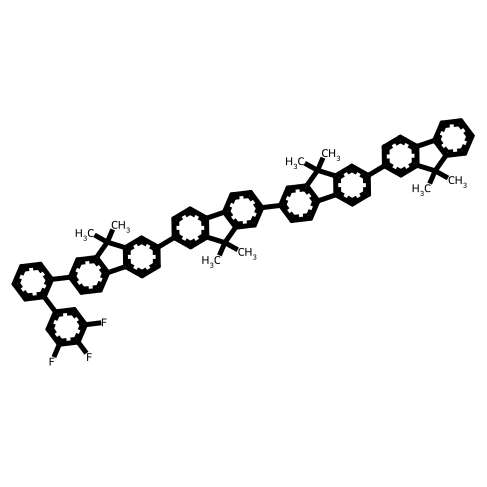 CC1(C)c2ccccc2-c2ccc(-c3ccc4c(c3)C(C)(C)c3cc(-c5ccc6c(c5)C(C)(C)c5cc(-c7ccc8c(c7)C(C)(C)c7cc(-c9ccccc9-c9cc(F)c(F)c(F)c9)ccc7-8)ccc5-6)ccc3-4)cc21